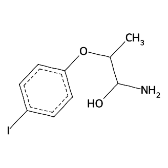 CC(Oc1ccc(I)cc1)C(N)O